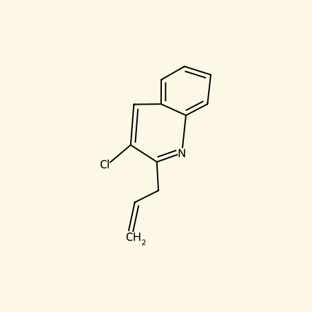 C=CCc1nc2ccccc2cc1Cl